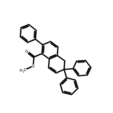 COC(=O)c1c(-c2ccccc2)ccc2c1C=CC(c1ccccc1)(c1ccccc1)C2